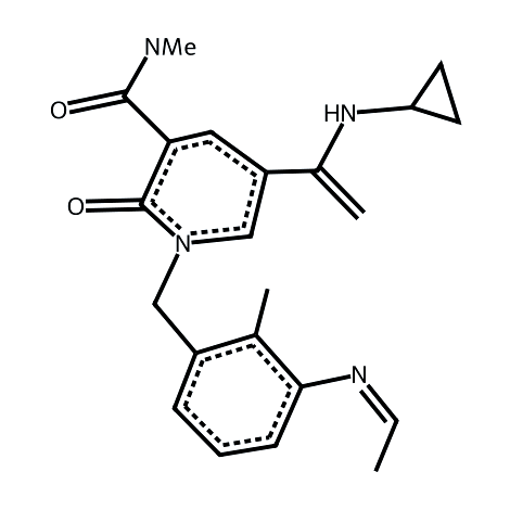 C=C(NC1CC1)c1cc(C(=O)NC)c(=O)n(Cc2cccc(/N=C\C)c2C)c1